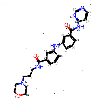 O=C(NCCCN1CCOCC1)c1cccc(Nc2cccc(C(=O)Nc3ccncn3)c2)c1